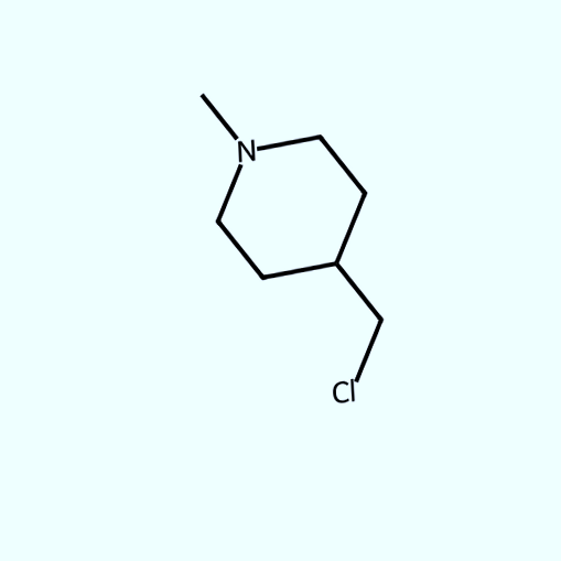 CN1CCC(CCl)CC1